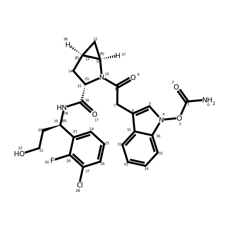 NC(=O)On1cc(CC(=O)N2[C@@H]3C[C@@H]3C[C@H]2C(=O)N[C@H](CCO)c2cccc(Cl)c2F)c2ccccc21